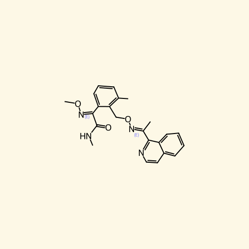 CNC(=O)/C(=N/OC)c1cccc(C)c1CO/N=C(\C)c1nccc2ccccc12